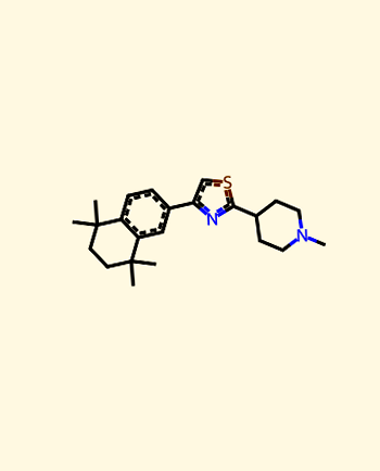 CN1CCC(c2nc(-c3ccc4c(c3)C(C)(C)CCC4(C)C)cs2)CC1